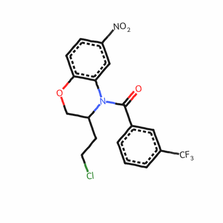 O=C(c1cccc(C(F)(F)F)c1)N1c2cc([N+](=O)[O-])ccc2OCC1CCCl